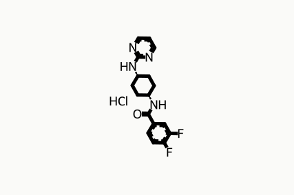 Cl.O=C(N[C@H]1CC[C@@H](Nc2ncccn2)CC1)c1ccc(F)c(F)c1